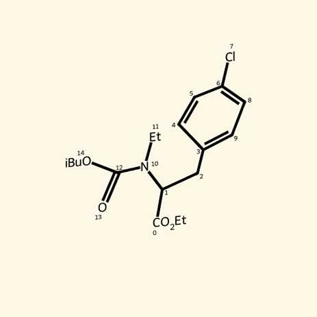 CCOC(=O)C(Cc1ccc(Cl)cc1)N(CC)C(=O)OCC(C)C